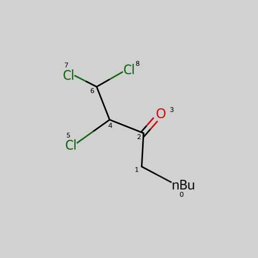 CCCCCC(=O)C(Cl)C(Cl)Cl